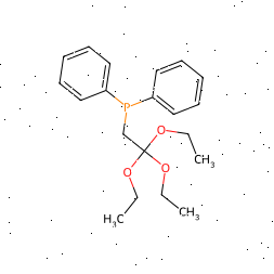 CCOC(CP(c1ccccc1)c1ccccc1)(OCC)OCC